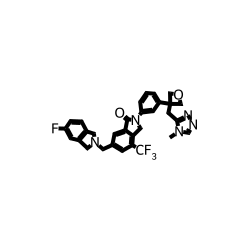 Cn1cnnc1CC1(c2cccc(N3Cc4c(cc(CN5Cc6ccc(F)cc6C5)cc4C(F)(F)F)C3=O)c2)COC1